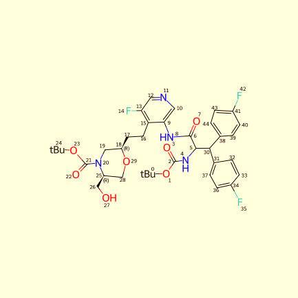 CC(C)(C)OC(=O)NC(C(=O)Nc1cncc(F)c1CC[C@@H]1CN(C(=O)OC(C)(C)C)[C@H](CO)CO1)C(c1ccc(F)cc1)c1ccc(F)cc1